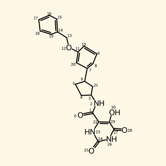 O=C(NC1CCC(c2cccc(OCc3ccccc3)c2)C1)c1[nH]c(=O)[nH]c(=O)c1O